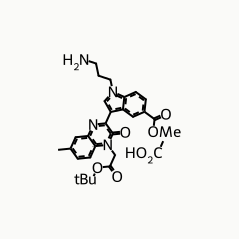 CC(=O)O.COC(=O)c1ccc2c(c1)c(-c1nc3cc(C)ccc3n(CC(=O)OC(C)(C)C)c1=O)cn2CCCN